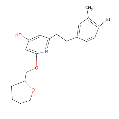 CCc1ccc(CCc2cc(O)cc(OCC3CCCCO3)n2)cc1C